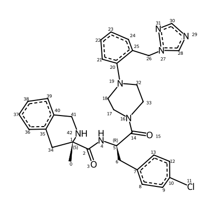 C[C@@]1(C(=O)N[C@H](Cc2ccc(Cl)cc2)C(=O)N2CCN(c3ccccc3Cn3cncn3)CC2)Cc2ccccc2CN1